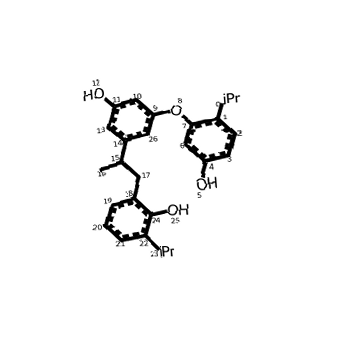 CC(C)c1ccc(O)cc1Oc1cc(O)cc(C(C)Cc2cccc(C(C)C)c2O)c1